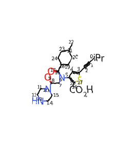 CC(C)C#Cc1cc(N(CC(=O)N2CCNCC2)C(=O)C2CCC(C)CC2)c(C(=O)O)s1